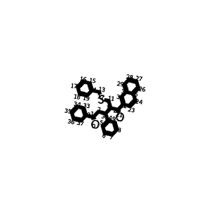 O=C(CC(c1ccccc1)C(CSCc1ccccc1)C(=O)c1ccc2ccccc2c1)c1ccccc1